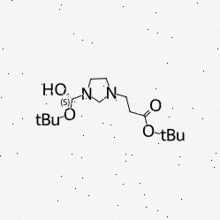 CC(C)(C)OC(=O)CCN1CCN([C@@H](O)OC(C)(C)C)C1